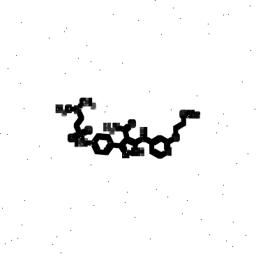 COCCOc1cc(Nc2[nH]nc(-c3ccc(NS(=O)(=O)CCN(C)C)cc3)c2C(N)=O)ccn1